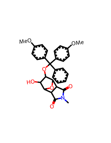 COc1ccc(C(OC2C(O)C3OC2C2C(=O)N(C)C(=O)C32)(c2ccccc2)c2ccc(OC)cc2)cc1